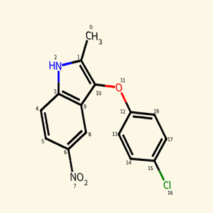 Cc1[nH]c2ccc([N+](=O)[O-])cc2c1Oc1ccc(Cl)cc1